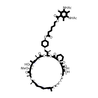 CO[C@H]1C(=O)[C@H](C)C[C@H](C)/C=C/C=C/C=C(\C)CCCCC[C@@H](C)C(O)(O)C(=O)C(=O)N2CCCC[C@H]2C(=O)O[C@H]([C@H](C)C[C@H]2CC[C@H](OC(=O)CCCCCOC(=O)c3c(C)c(NC(C)=O)c(C)c(NC(C)=O)c3I)CC2)CC(=O)[C@H](C)/C=C(\C)[C@H]1O